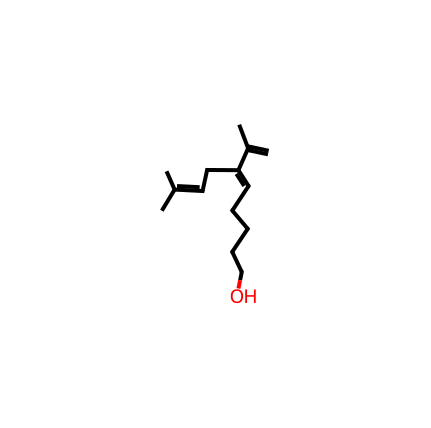 C=C(C)C(=CCCCCO)CC=C(C)C